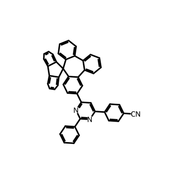 N#Cc1ccc(-c2cc(-c3ccc4c(c3)-c3ccccc3-c3ccccc3C43c4ccccc4-c4ccccc43)nc(-c3ccccc3)n2)cc1